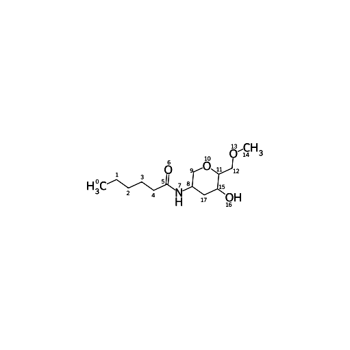 CCCCCC(=O)NC1COC(COC)C(O)C1